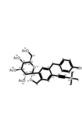 CCc1ccc(Cc2cc3c(cc2C#C[Si](C)(C)C)CO[C@]32O[C@H](COC(C)=O)[C@H](OC(C)=O)[C@H](OC(C)=O)[C@H]2OC(C)=O)cc1